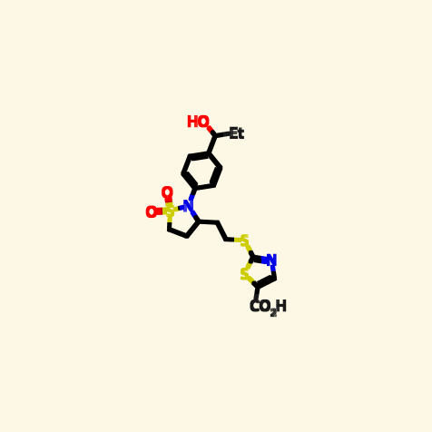 CCC(O)c1ccc(N2C(CCSc3ncc(C(=O)O)s3)CCS2(=O)=O)cc1